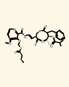 CCCC(=O)OCOc1c(OC)ccnc1C(=O)N/C=C/C1COC(=O)C(Cc2ccccc2)[C@@H](OC(=O)C(C)C)[C@H](C)OC1=O